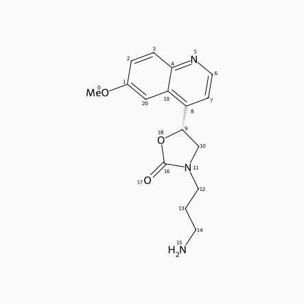 COc1ccc2nccc([C@@H]3CN(CCCN)C(=O)O3)c2c1